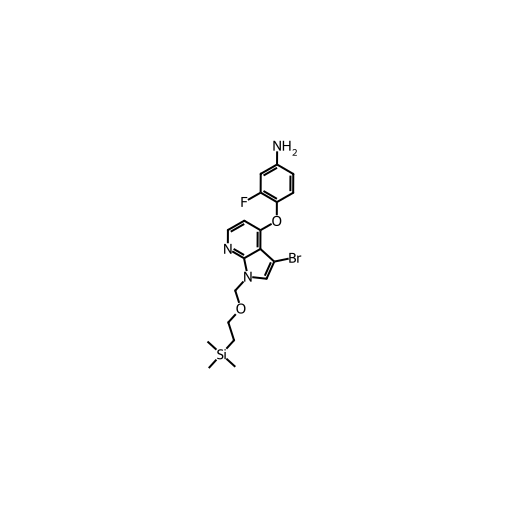 C[Si](C)(C)CCOCn1cc(Br)c2c(Oc3ccc(N)cc3F)ccnc21